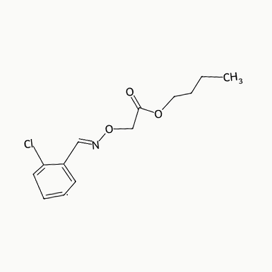 CCCCOC(=O)CON=Cc1c[c]ccc1Cl